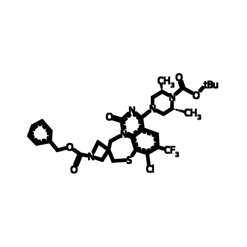 C[C@@H]1CN(c2nc(=O)n3c4c(c(Cl)c(C(F)(F)F)cc24)SCC2(CN(C(=O)OCc4ccccc4)C2)C3)C[C@H](C)N1C(=O)OC(C)(C)C